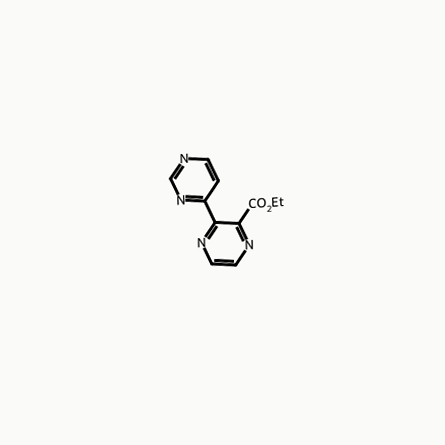 CCOC(=O)c1nccnc1-c1ccncn1